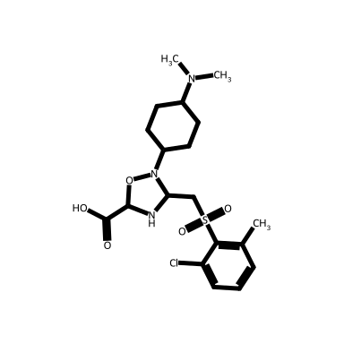 Cc1cccc(Cl)c1S(=O)(=O)CC1NC(C(=O)O)ON1C1CCC(N(C)C)CC1